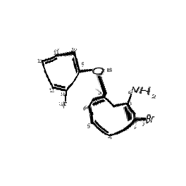 Nc1c(Br)cccc1Oc1ccccc1F